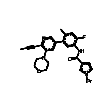 CC#Cc1ncc(-c2cc(NC(=O)c3ccn(C(C)C)c3)c(F)cc2C)cc1N1CCOCC1